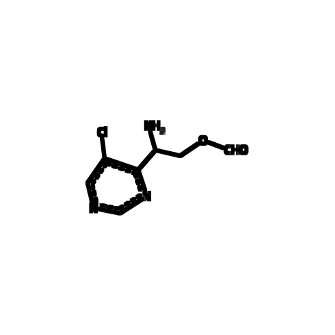 NC(COC=O)c1ncncc1Cl